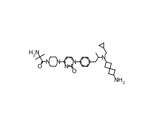 CC(Cc1ccc(-n2ccc(N3CCN(C(=O)C(C)(C)N)CC3)nc2=O)cc1)N(CC1CC1)C1CC2(CC(N)C2)C1